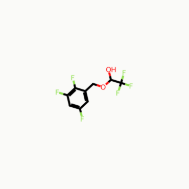 OC(OCc1cc(F)cc(F)c1F)C(F)(F)F